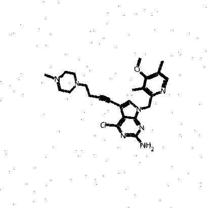 COc1c(C)cnc(Cn2cc(C#CCCN3CCN(C)CC3)c3c(Cl)nc(N)nc32)c1C